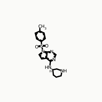 Cc1ccc(S(=O)(=O)n2ccc3c(N[C@H]4CCCNC4)ncnc32)cc1